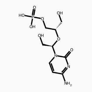 Nc1ccn([C@@H](CO)O[C@@H](CO)COP(=O)(O)O)c(=O)n1